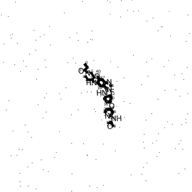 C=CC(=O)N1CCC(Nc2cc3c(Nc4ccc(Oc5ccnc(NC6COC6)c5)cc4F)ncnc3cc2OC)CC1